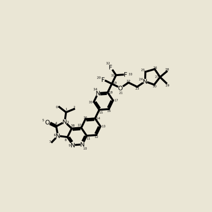 CC(C)n1c(=O)n(C)c2nnc3ccc(-c4ccc(C(F)(OCCN5CCC(C)(C)C5)C(F)F)nc4)cc3c21